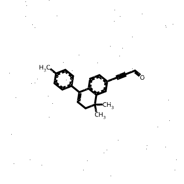 Cc1ccc(C2=CCC(C)(C)c3cc(C#CC=O)ccc32)cc1